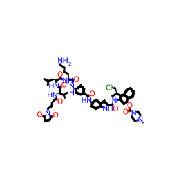 CC(C)C[C@H](NC(=O)[C@@H](NC(=O)CCCN1C(=O)C=CC1=O)C(C)C)C(=O)N[C@@H](CCCCN)C(=O)Nc1ccc(C(=O)Nc2ccc3[nH]c(C(=O)N4C[C@@H](CCl)c5c4cc(OC(=O)N4CCN(C)CC4)c4ccccc54)cc3c2)cc1